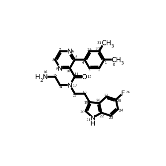 Cc1ccc(-c2nccnc2C(=O)N(CCN)CCc2c[nH]c3ccc(F)cc23)cc1C